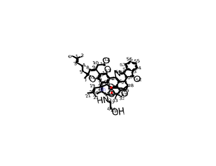 CC(C)=CCCC1(C)C=C2CC(=O)Oc3c2c(c(CC=C(C)C)c2c3C3=C4C(C5CC6C(C)(C)OC(C/C=C(/C)C(=O)NCCO)(C5=O)C46O2)C2C(=O)c4ccccc4C2=N3)O1